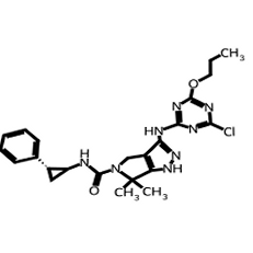 CCCOc1nc(Cl)nc(Nc2n[nH]c3c2CN(C(=O)NC2C[C@@H]2c2ccccc2)C3(C)C)n1